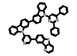 c1ccc(-c2cc(-n3c4ccccc4c4cc(-c5ccc6c7ccccc7n(-c7cncc(-c8ccc9sc%10cccnc%10c9c8)c7)c6c5)ccc43)nc(-c3ccccc3)n2)cc1